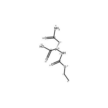 CCOC(=O)N[C@@H](CC(N)=O)C(=O)O